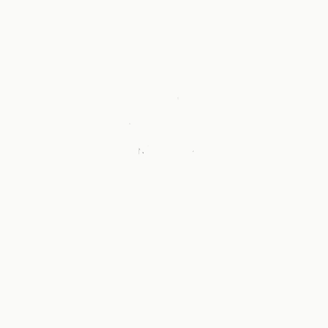 C=C/C=C1/CCCCCN1